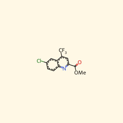 COC(=O)c1cc(C(F)(F)F)c2cc(Cl)ccc2n1